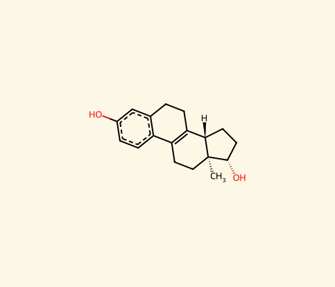 C[C@]12CCC3=C(CCc4cc(O)ccc43)[C@@H]1CC[C@@H]2O